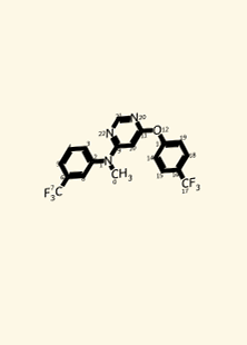 CN(c1cccc(C(F)(F)F)c1)c1cc(Oc2ccc(C(F)(F)F)cc2)ncn1